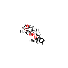 CC1(CCC(Cc2ccccc2)O[Si](C)(C)C(C)(C)C)CCC2(OCCO2)C(C)(C)C1O